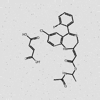 CC(=O)NC(C)OC(=O)C=C1CN=C(c2ccccc2F)c2cc(Cl)ccc2N1.O=C(O)C=CC(=O)O